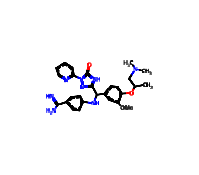 COc1cc(C(Nc2ccc(C(=N)N)cc2)c2nn(-c3ccccn3)c(=O)[nH]2)ccc1OC(C)CN(C)C